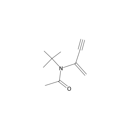 C#CC(=C)N(C(C)=O)C(C)(C)C